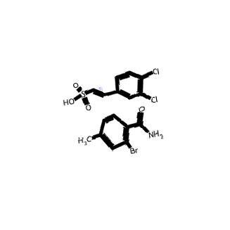 Cc1ccc(C(N)=O)c(Br)c1.O=S(=O)(O)/C=C/c1ccc(Cl)c(Cl)c1